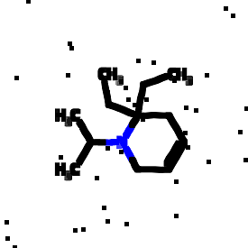 CCC1(CC)CC=CCN1C(C)C